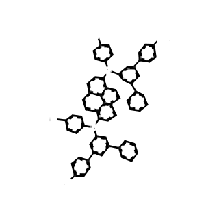 Cc1ccc(-c2cc(-c3ccccc3)cc(N(c3ccc(C(C)C)cc3)c3ccc4ccc5c(N(c6ccc(C(C)(C)C)cc6)c6cc(-c7ccccc7)cc(-c7ccc(C)cc7)c6)ccc6ccc3c4c65)c2)cc1